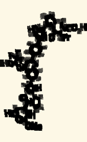 COC(=O)N[C@@H](CO)C(=O)N1CCC[C@H]1c1ncc(-c2ccc3nc(-c4ccc(-c5c[nH]c([C@@H]6CCCN6C(=O)[C@H](C(C)C)N(C)C(=O)O)n5)cc4)cnc3c2)[nH]1.O=C(O)C(F)(F)F